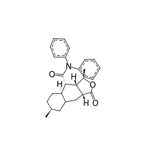 C[C@H]1CC[C@@H]2C(C1)C[C@H]1C(=O)O[C@H](C)[C@H]1[C@H]2C(=O)N(c1ccccc1)c1ccccc1